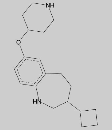 c1cc2c(cc1OC1CCNCC1)CCC(C1CCC1)CN2